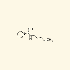 CCCCCNC(O)N1CCCC1